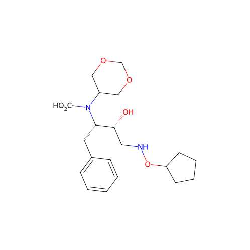 O=C(O)N(C1COCOC1)[C@@H](Cc1ccccc1)[C@H](O)CNOC1CCCC1